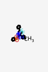 Cc1ccc(-c2c(NS(=O)(=O)c3ccccc3)nn(CCc3ccccc3)c2C(F)F)cc1